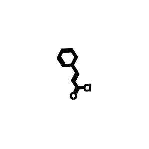 O=C(Cl)C=CC1C=CC=CC1